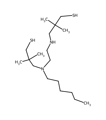 CCCCCCN(CCNCC(C)(C)CS)CC(C)(C)CS